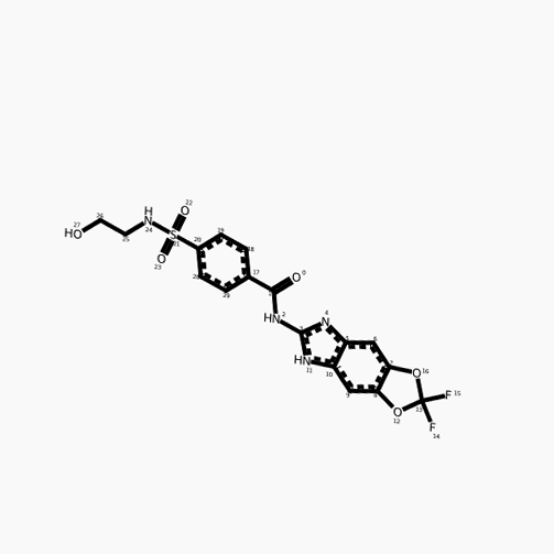 O=C(Nc1nc2cc3c(cc2[nH]1)OC(F)(F)O3)c1ccc(S(=O)(=O)NCCO)cc1